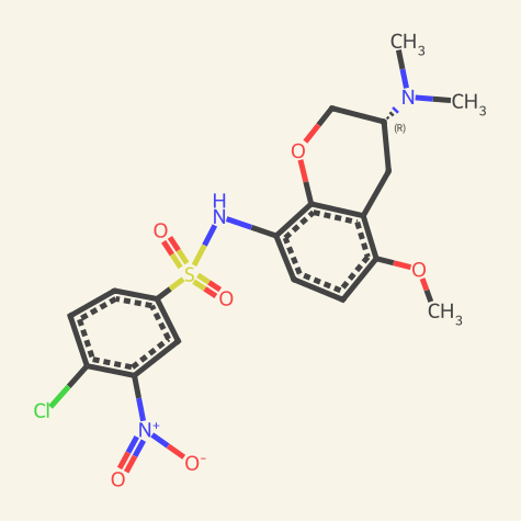 COc1ccc(NS(=O)(=O)c2ccc(Cl)c([N+](=O)[O-])c2)c2c1C[C@@H](N(C)C)CO2